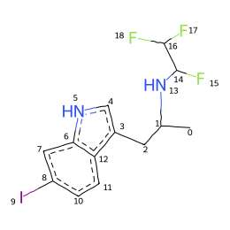 CC(Cc1c[nH]c2cc(I)ccc12)NC(F)C(F)F